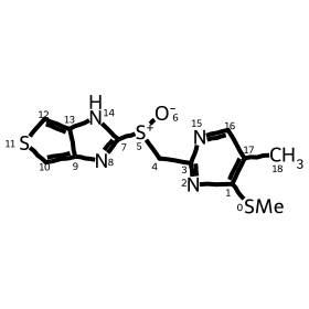 CSc1nc(C[S+]([O-])c2nc3cscc3[nH]2)ncc1C